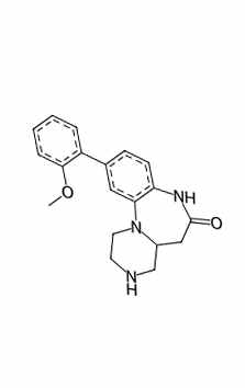 COc1ccccc1-c1ccc2c(c1)N1CCNCC1CC(=O)N2